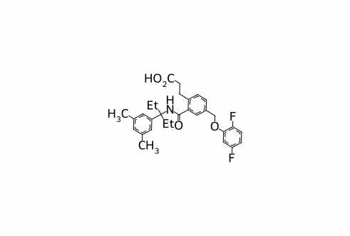 CCC(CC)(NC(=O)c1cc(COc2cc(F)ccc2F)ccc1CCC(=O)O)c1cc(C)cc(C)c1